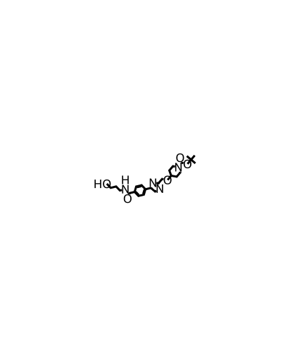 CC(C)(C)OC(=O)N1CCC(OCC2=NCC(c3ccc(C(=O)NCCCO)cc3)=N2)CC1